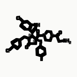 Cc1ccc(S[C@@]2(C(=O)N3CCN(C(=O)CN)CC3)CC(=O)N(Cc3ccc(Cl)cc3)[C@H]2c2c[nH]c3cc(Cl)ccc23)cc1